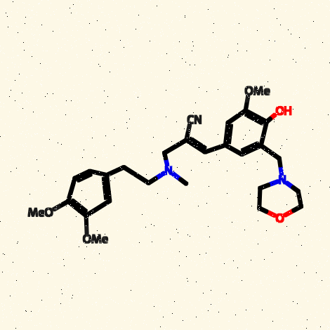 COc1ccc(CCN(C)CC(C#N)=Cc2cc(CN3CCOCC3)c(O)c(OC)c2)cc1OC